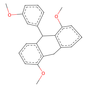 COc1cccc(C2c3cccc(OC)c3Cc3cccc(OC)c32)c1